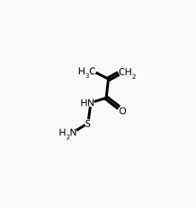 C=C(C)C(=O)NSN